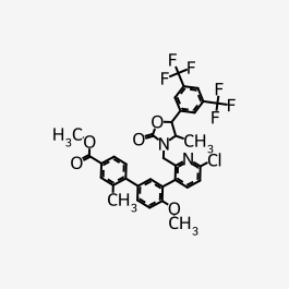 COC(=O)c1ccc(-c2ccc(OC)c(-c3ccc(Cl)nc3CN3C(=O)OC(c4cc(C(F)(F)F)cc(C(F)(F)F)c4)C3C)c2)c(C)c1